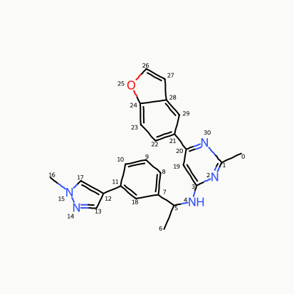 Cc1nc(NC(C)c2cccc(-c3cnn(C)c3)c2)cc(-c2ccc3occc3c2)n1